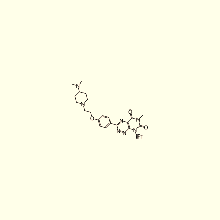 CC(C)n1c(=O)n(C)c(=O)c2nc(-c3ccc(OCCN4CCC(N(C)C)CC4)cc3)nnc21